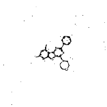 Cc1cc(C)c2c(n1)oc1c(N3CCOCC3)nc(-c3ccccc3)nc12